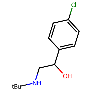 CC(C)(C)NCC(O)c1ccc(Cl)cc1